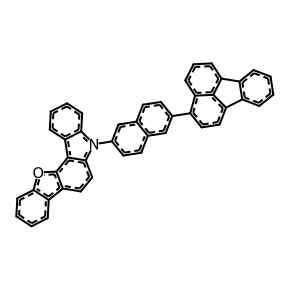 c1ccc2c(c1)-c1cccc3c(-c4ccc5cc(-n6c7ccccc7c7c8oc9ccccc9c8ccc76)ccc5c4)ccc-2c13